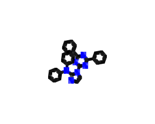 c1ccc(-c2nc(-c3ccccc3)nc(-n3ccnc3N(c3ccccc3)c3ccccc3)n2)cc1